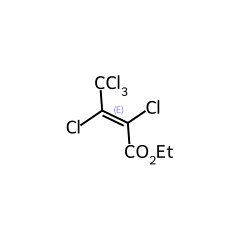 CCOC(=O)/C(Cl)=C(\Cl)C(Cl)(Cl)Cl